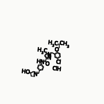 Cc1cc(C(=O)Nc2ccc(CN3CC[C@@H](O)C3)cc2)nn1Cc1cc(Cl)ccc1OCC(C)C.Cl